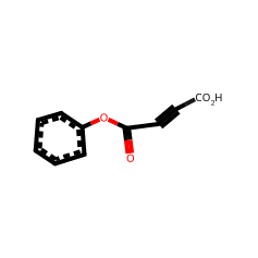 O=C(O)C#CC(=O)Oc1ccccc1